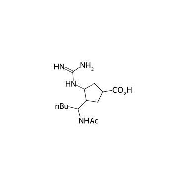 CCCCC(NC(C)=O)C1CC(C(=O)O)CC1NC(=N)N